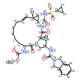 CC(C)(C)OC(=O)N[C@H]1CCCCC/C=C/[C@@H]2C[C@@]2(C(=O)NS(=O)(=O)C2CC2)NC(=O)[C@@H]2C[C@@H](NC(=O)N3Cc4ccccc4C3)CN2C1=O